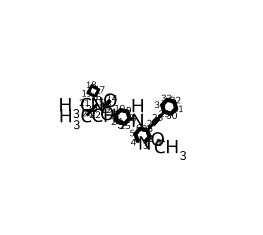 COc1nccc(Nc2ccc(OC(=O)N(C3CCC3)C(C)(C)C)cc2)c1C#Cc1ccccc1